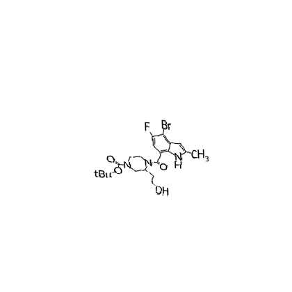 Cc1cc2c(Br)c(F)cc(C(=O)N3CCN(C(=O)OC(C)(C)C)CC3CCO)c2[nH]1